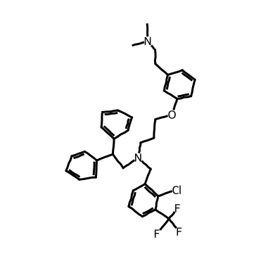 CN(C)CCc1cccc(OCCCN(Cc2cccc(C(F)(F)F)c2Cl)CC(c2ccccc2)c2ccccc2)c1